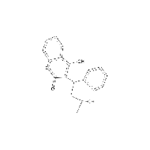 CC(O)CC(c1ccccc1)c1c(O)c2ccccc2oc1=O